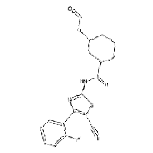 N#Cc1sc(NC(=O)C2CCCC(OC=O)C2)nc1-c1ccccc1F